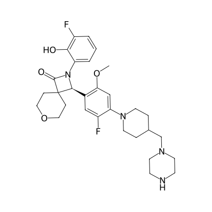 COc1cc(N2CCC(CN3CCNCC3)CC2)c(F)cc1[C@@H]1N(c2cccc(F)c2O)C(=O)C12CCOCC2